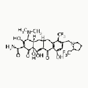 CN(C)[C@@H]1C(O)=C(C(N)=O)C(=O)[C@@]2(O)C(O)=C3C(=O)c4c(O)cc(CN5CCC[C@H]5C(F)(F)F)c(C(F)(F)F)c4C[C@H]3C[C@@H]12